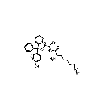 Cc1ccc(C(OC(=O)[C@H](NC(=O)[C@@H](N)CCCCN=[N+]=[N-])C(C)C)(c2ccccc2)c2ccccc2Cl)cc1